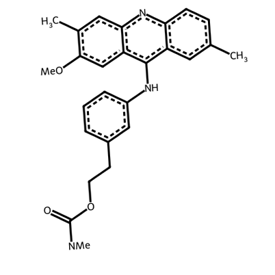 CNC(=O)OCCc1cccc(Nc2c3cc(C)ccc3nc3cc(C)c(OC)cc23)c1